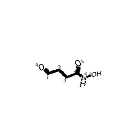 O=CCCC(=O)NO